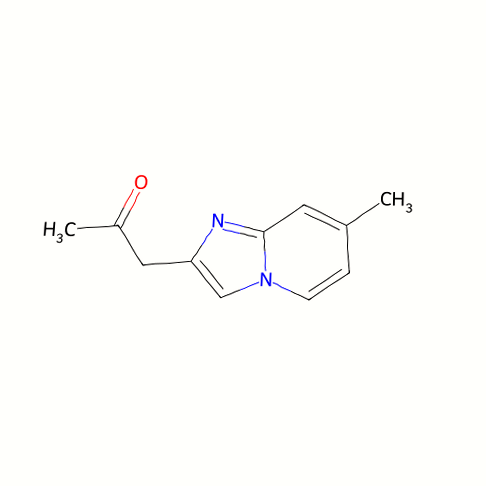 CC(=O)Cc1cn2ccc(C)cc2n1